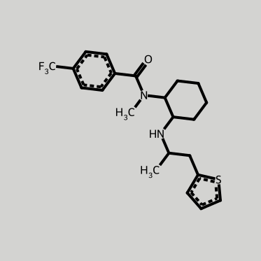 CC(Cc1cccs1)NC1CCCCC1N(C)C(=O)c1ccc(C(F)(F)F)cc1